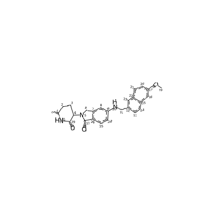 C=C1CCC(N2Cc3cc(NCc4ccc5cc(OC)ccc5c4)ccc3C2=O)C(=O)N1